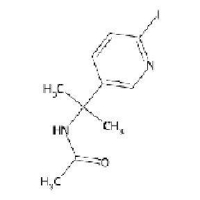 CC(=O)NC(C)(C)c1ccc(I)nc1